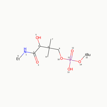 CCNC(=O)C(O)C(C)(C)COP(=O)(O)OC(C)(C)C